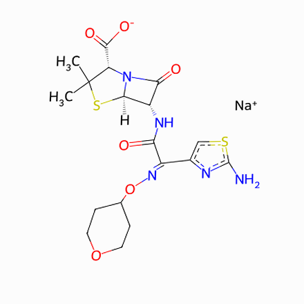 CC1(C)S[C@@H]2[C@@H](NC(=O)/C(=N\OC3CCOCC3)c3csc(N)n3)C(=O)N2[C@H]1C(=O)[O-].[Na+]